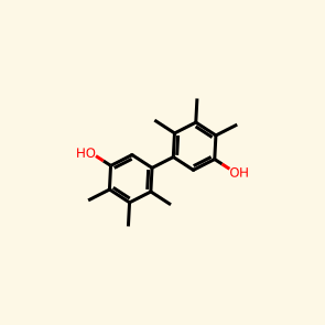 Cc1c(O)cc(-c2cc(O)c(C)c(C)c2C)c(C)c1C